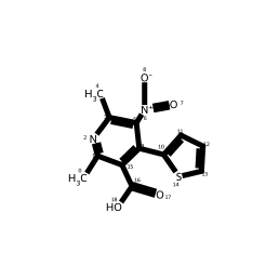 Cc1nc(C)c([N+](=O)[O-])c(-c2cccs2)c1C(=O)O